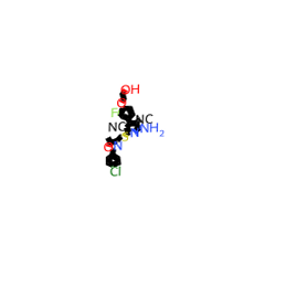 [C-]#[N+]c1c(N)nc(SCc2nc(-c3ccc(Cl)cc3)oc2C)c(C#N)c1-c1ccc(OCCO)c(F)c1